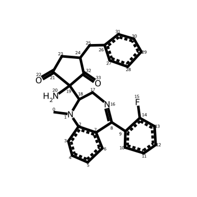 CN1c2ccccc2C(c2ccccc2F)=NCC1C1(N)C(=O)CC(Cc2ccccc2)C1=O